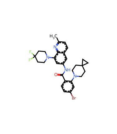 Cc1ccc2cc(NC(=O)c3ccc(Br)cc3N3CCC4(CC3)CC4)cc(N3CCC(F)(F)CC3)c2n1